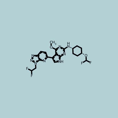 COc1nc(N[C@H]2CC[C@@H](OC(F)F)CC2)nc2[nH]cc(-c3ccc4nnn(CC(F)F)c4n3)c12